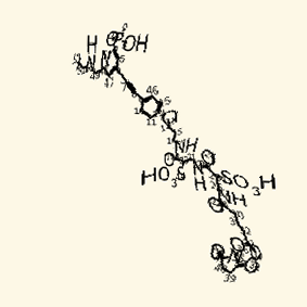 CP(=O)(O)c1cc(C#Cc2ccc(OCCCNC(=O)C(CNC(=O)C(CNC(=O)CCCC(=O)ON3C(=O)CCC3=O)S(=O)(=O)O)S(=O)(=O)O)cc2)cc(CNCI)n1